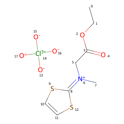 CCOC(=O)C[N+](C)=c1sccs1.[O-][Cl+3]([O-])([O-])[O-]